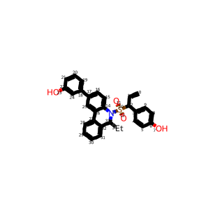 C=CC(c1ccc(O)cc1)S(=O)(=O)N1c2ccc(-c3cccc(O)c3)cc2-c2ccccc2C1CC